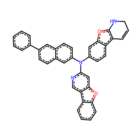 C1=Cc2c(oc3cc(N(c4ccc5cc(-c6ccccc6)ccc5c4)c4cc5oc6ccccc6c5cn4)ccc23)NC1